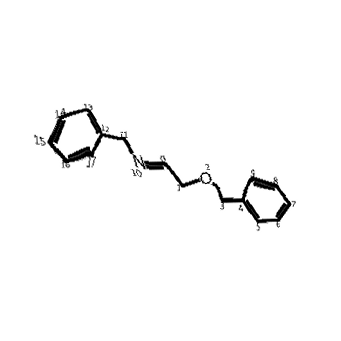 C(COCc1ccccc1)=NCc1ccccc1